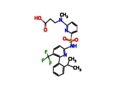 CC(C)c1ccccc1-c1nc(NS(=O)(=O)c2cccc(N(C)CCC(=O)O)n2)ccc1C(F)(F)F